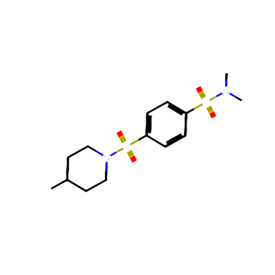 CCOC(=O)C1CCN(S(=O)(=O)c2ccc(S(=O)(=O)N(CC)CC)cc2)CC1